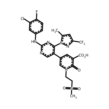 Cc1cc(C(F)(F)F)nn1-c1nc(Nc2ccc(F)c(Cl)c2)ncc1-c1cc(C(=O)O)c(=O)n(CCS(C)(=O)=O)c1